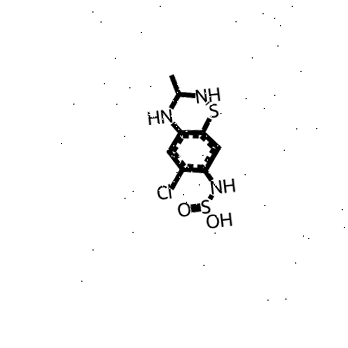 CC1NSc2cc(NS(=O)O)c(Cl)cc2N1